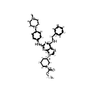 CN1CCN(c2ccc(Nc3nc(NCc4ccccc4)c4ncn([C@H]5CCCN(C(=O)OC(C)(C)C)C5)c4n3)cc2)CC1